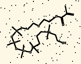 C=C(C)C(=O)OCCOCCC[Si](C)(C)O[Si](C)(C)O[Si](C)(C)O[Si](C)(C)CCC[N+](C)(C)CCO